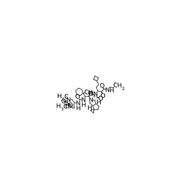 C=CCNC(=O)C(=O)C(CCC1CCC1)NC(=O)[C@@H]1[C@H]2CCC3(CC3)[C@H]2CN1C(=O)[C@@H](NC(=O)N[C@H](CN(C)S(C)(=O)=O)C(C)(C)C)C1(C)CCCCC1